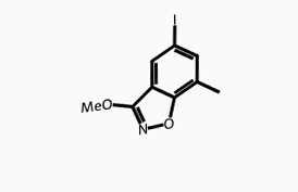 COc1noc2c(C)cc(I)cc12